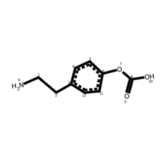 NCCc1ccc(OC(=O)O)cc1